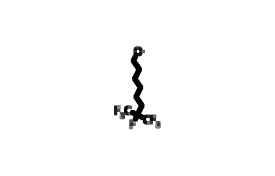 [O]CCCCCCC(F)(C(F)(F)F)C(F)(F)F